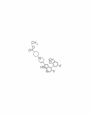 CCOC(=O)[C@H]1CC[C@H](N2CC=C(c3cc4c(-c5cc(F)ccc5OC)c(F)cnc4[nH]3)CC2)CC1